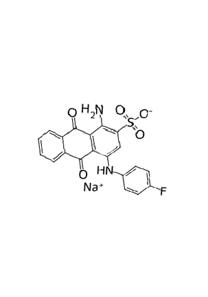 Nc1c(S(=O)(=O)[O-])cc(Nc2ccc(F)cc2)c2c1C(=O)c1ccccc1C2=O.[Na+]